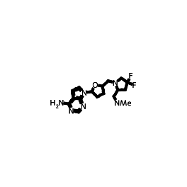 CNCC1CC(F)(F)CN1CC1CCC(n2ccc3c(N)ncnc32)O1